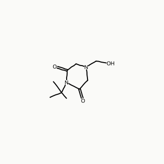 CC(C)(C)N1C(=O)CN(CO)CC1=O